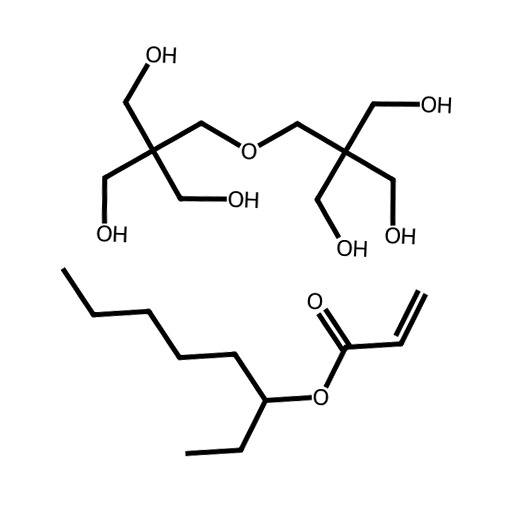 C=CC(=O)OC(CC)CCCCC.OCC(CO)(CO)COCC(CO)(CO)CO